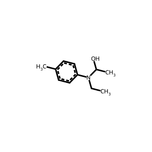 CCN(c1ccc(C)cc1)C(C)O